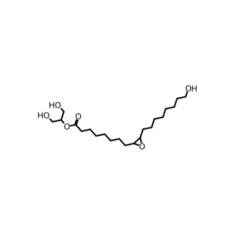 O=C(CCCCCCCC1OC1CCCCCCCCO)OC(CO)CO